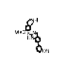 COc1cc2c(cc1Nc1ncc3ccc(-c4cccc(O)c4)cc3n1)CNCC2